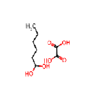 CCCCCC(O)O.O=C(O)C(=O)O